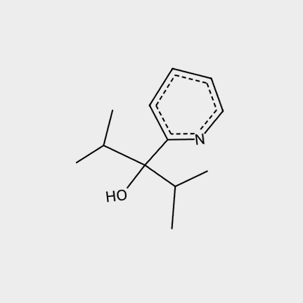 CC(C)C(O)(c1ccccn1)C(C)C